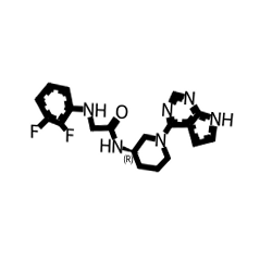 O=C(CNc1cccc(F)c1F)N[C@@H]1CCCN(c2ncnc3[nH]ccc23)C1